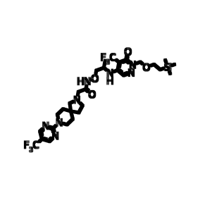 CC(CONC(=O)CN1CCC2(CCN(c3ncc(C(F)(F)F)cn3)CC2)C1)Nc1cnn(COCC[Si](C)(C)C)c(=O)c1C(F)(F)F